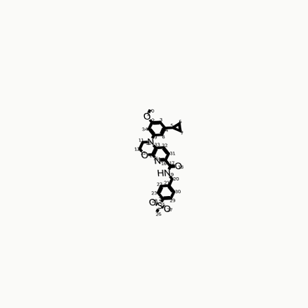 COc1cc(C2CC2)cc(N2CCOc3nc(C(=O)NCc4ccc(S(C)(=O)=O)cc4)ccc32)c1